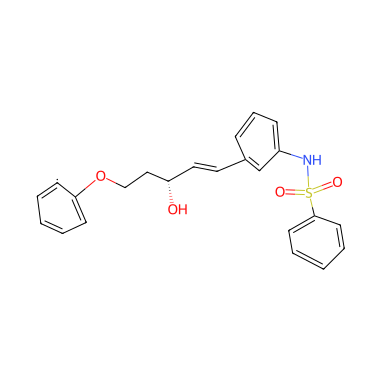 O=S(=O)(Nc1cccc(/C=C/[C@H](O)CCOc2[c]cccc2)c1)c1ccccc1